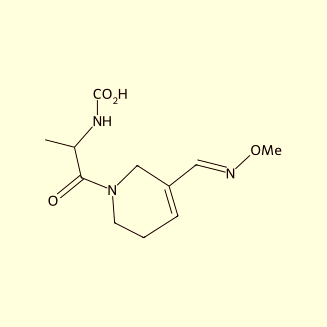 CON=CC1=CCCN(C(=O)C(C)NC(=O)O)C1